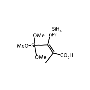 CCC/C(=C(/C)C(=O)O)[Si](OC)(OC)OC.[SiH4]